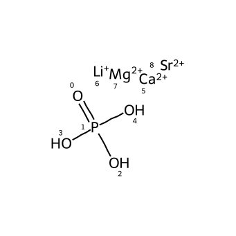 O=P(O)(O)O.[Ca+2].[Li+].[Mg+2].[Sr+2]